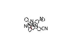 N#Cc1ccc2c3ccc(C#N)cc3n(-c3cc(-c4ccccn4)ccc3-c3nc(-c4ccccc4)nc(-c4ccccc4)n3)c2c1